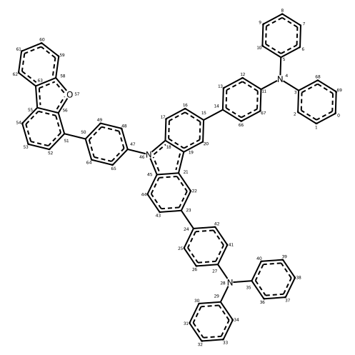 c1ccc(N(c2ccccc2)c2ccc(-c3ccc4c(c3)c3cc(-c5ccc(N(c6ccccc6)c6ccccc6)cc5)ccc3n4-c3ccc(-c4cccc5c4oc4ccccc45)cc3)cc2)cc1